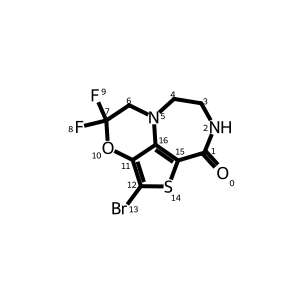 O=C1NCCN2CC(F)(F)Oc3c(Br)sc1c32